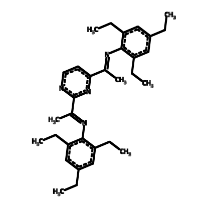 CCc1cc(CC)c(N=C(C)c2ccnc(C(C)=Nc3c(CC)cc(CC)cc3CC)n2)c(CC)c1